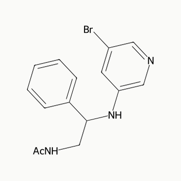 CC(=O)NCC(Nc1cncc(Br)c1)c1ccccc1